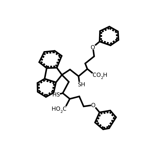 O=C(O)C(CCOc1ccccc1)C(S)CC1(CC(S)C(CCOc2ccccc2)C(=O)O)c2ccccc2-c2ccccc21